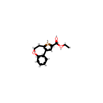 CCOC(=O)c1cc2c(s1)CCOc1ccccc1-2